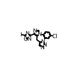 Clc1ccc2c(c1)-n1nncc1Cc1c(-c3noc(I)n3)ncn1-2